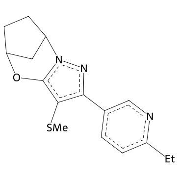 CCc1ccc(-c2nn3c(c2SC)OC2CCC3C2)cn1